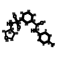 O=C(Nc1ccc(F)cc1)c1cccc(S(=O)(=O)N[C@H]2CCOC2)c1